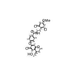 COc1cc(Cl)c(CCNC(=O)c2ccc(Oc3cc4c(cc3Cl)C(C(=O)O)CCO4)cc2)c(Cl)c1